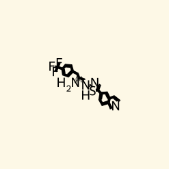 N[C@@H](CNc1ncc(-c2ccc3cnccc3c2)s1)Cc1ccc(C(F)(F)F)cc1